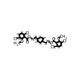 COc1c(Cl)ccc(Cl)c1C(=O)O/N=C/c1ccc(/C=N/OC(=O)c2c(Cl)ccc(Cl)c2OC)cc1